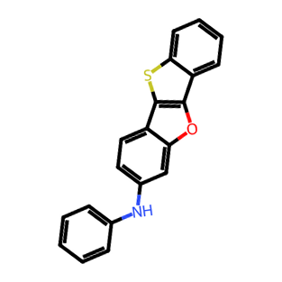 c1ccc(Nc2ccc3c(c2)oc2c4ccccc4sc32)cc1